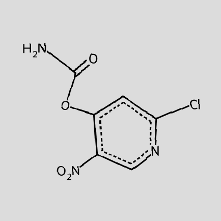 NC(=O)Oc1cc(Cl)ncc1[N+](=O)[O-]